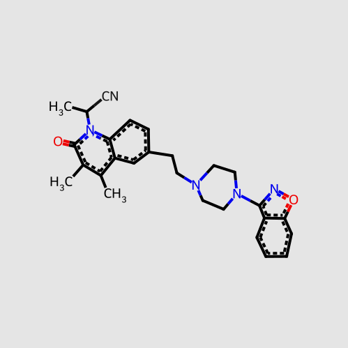 Cc1c(C)c2cc(CCN3CCN(c4noc5ccccc45)CC3)ccc2n(C(C)C#N)c1=O